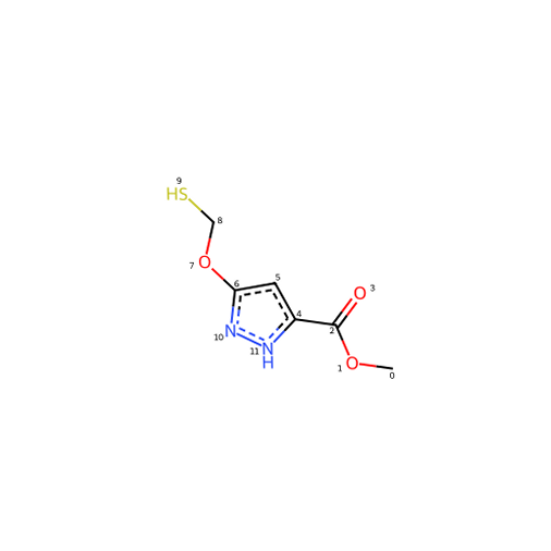 COC(=O)c1cc(OCS)n[nH]1